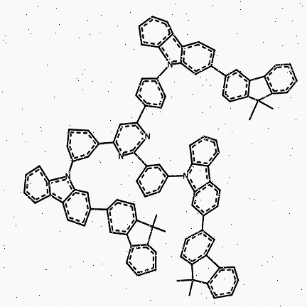 CC1(C)c2ccccc2-c2cc(-c3ccc4c5ccccc5n(-c5ccc(-c6cc(-c7cccc(-n8c9ccccc9c9ccc(-c%10ccc%11c(c%10)-c%10ccccc%10C%11(C)C)cc98)c7)nc(-c7cccc(-n8c9ccccc9c9ccc(-c%10ccc%11c(c%10)-c%10ccccc%10C%11(C)C)cc98)c7)n6)cc5)c4c3)ccc21